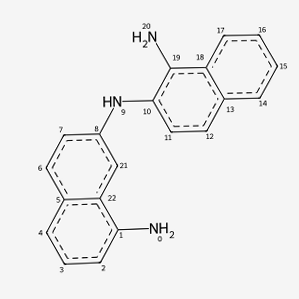 Nc1cccc2ccc(Nc3ccc4ccccc4c3N)cc12